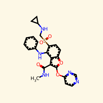 CNC(=O)c1c(Oc2ccncn2)oc2ccc(S(=O)(=O)CNC3CC3)c(Nc3ccccc3)c12